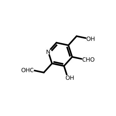 O=CCc1ncc(CO)c(C=O)c1O